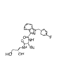 CC(C)(C)[C@H](NC(=O)c1nn(Cc2ccc(F)cc2)c2ccccc12)C(=O)NC[C@H](O)CO